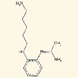 CC(N)=Nc1ccccc1NCCCCCN